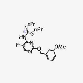 CCC/N=C(/Nc1nc(OCC2=CC=CC(OC)C2)ncc1F)SCCC